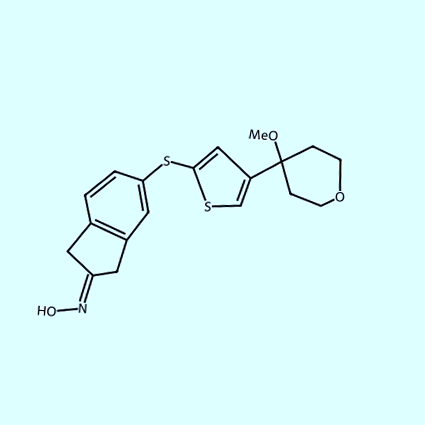 COC1(c2csc(Sc3ccc4c(c3)C/C(=N/O)C4)c2)CCOCC1